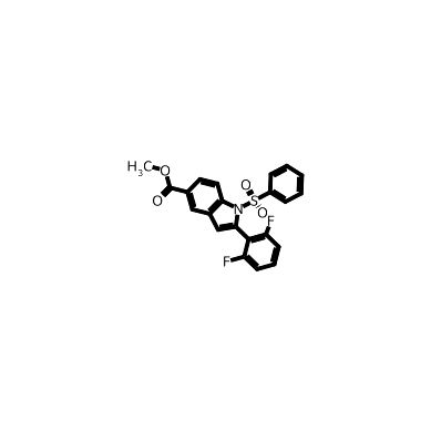 COC(=O)c1ccc2c(c1)cc(-c1c(F)cccc1F)n2S(=O)(=O)c1ccccc1